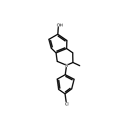 CC1Cc2cc(O)ccc2CN1c1ccc(Cl)cc1